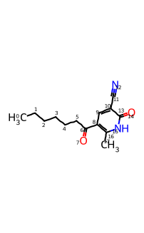 CCCCCCC(=O)c1cc(C#N)c(=O)[nH]c1C